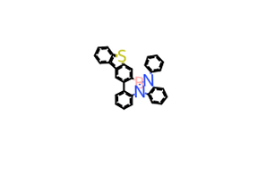 c1ccc(N2B3c4cc5sc6ccccc6c5cc4-c4ccccc4N3c3ccccc32)cc1